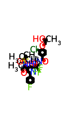 C[C@@H](O)COc1ccc(C(=O)NCC(O)(c2cc3c(c(-c4ccc(F)cc4)n2)OC[C@@]3(C)N[S+]([O-])C(C)(C)C)C(F)(F)F)cc1Cl